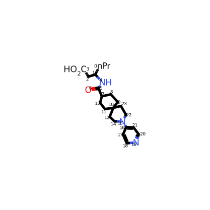 CCCC(CC(=O)O)NC(=O)C1CCC2(CC1)CCN(c1ccncc1)CC2